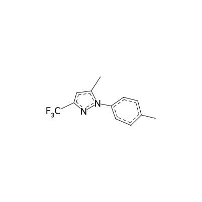 Cc1ccc(-n2nc(C(F)(F)F)cc2C)cc1